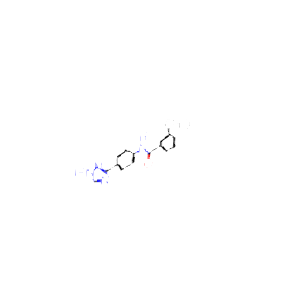 O=Cc1cccc(C(=O)Nc2ccc(-c3nc[nH]n3)cc2)c1